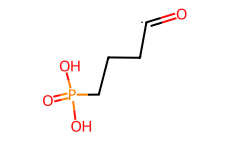 O=[C]CCCP(=O)(O)O